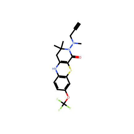 C#CCN(C)N1C(=O)C2=C(CC1(C)C)Nc1ccc(OC(F)(F)F)cc1S2